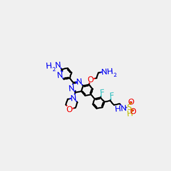 NCCOc1cc(-c2cccc(C(F)CCN[SH](=O)=O)c2F)cc2c(N3CCOCC3)nc(-c3ccc(N)nc3)nc12